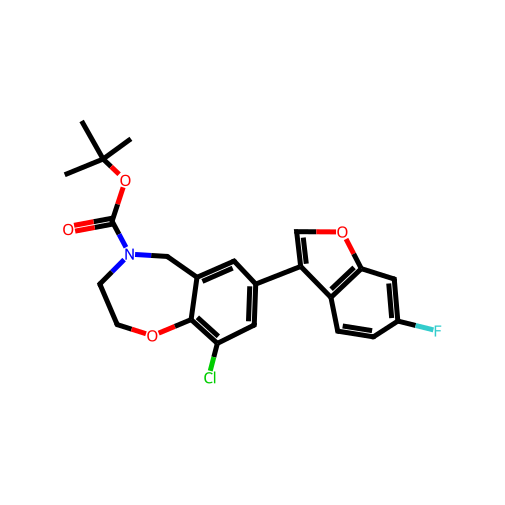 CC(C)(C)OC(=O)N1CCOc2c(Cl)cc(-c3coc4cc(F)ccc34)cc2C1